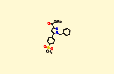 COC(=O)c1cc(-c2ccc(S(C)(=O)=O)cc2)n(Cc2ccccc2)n1